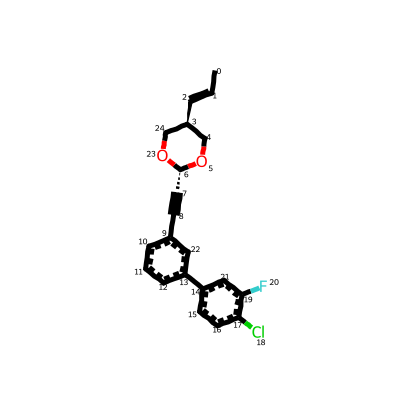 CC=C[C@H]1CO[C@H](C#Cc2cccc(-c3ccc(Cl)c(F)c3)c2)OC1